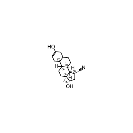 C[C@]12CC[C@H]3[C@@H](CCC4CC(O)=CC[C@@]43C)[C@@H]1[C@H](C#N)C[C@@H]2O